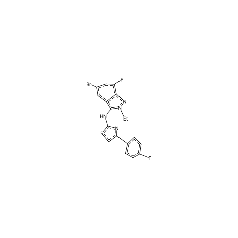 CCn1nc2c(F)cc(Br)cc2c1Nc1nc(-c2ccc(F)cc2)cs1